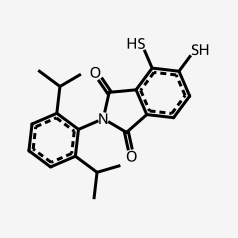 CC(C)c1cccc(C(C)C)c1N1C(=O)c2ccc(S)c(S)c2C1=O